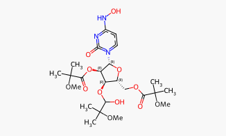 COC(C)(C)C(=O)OC[C@H]1O[C@@H](n2ccc(NO)nc2=O)[C@H](OC(=O)C(C)(C)OC)[C@@H]1OC(O)C(C)(C)OC